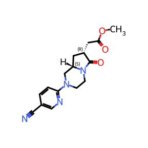 COC(=O)C[C@H]1C[C@H]2CN(c3ccc(C#N)cn3)CCN2C1=O